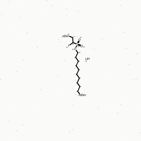 CCCCCCCCCCCCCCCCCCCCOS(=O)(=O)C(F)CCCCCCCCCCC.[LiH]